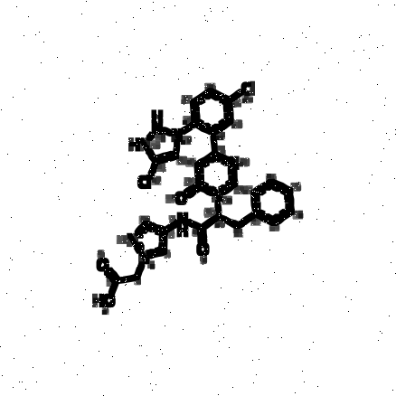 O=C(O)Cn1cc(NC(=O)[C@H](Cc2ccccc2)n2cnc(-c3cc(Cl)ccc3N3C=C(Cl)NN3)cc2=O)cn1